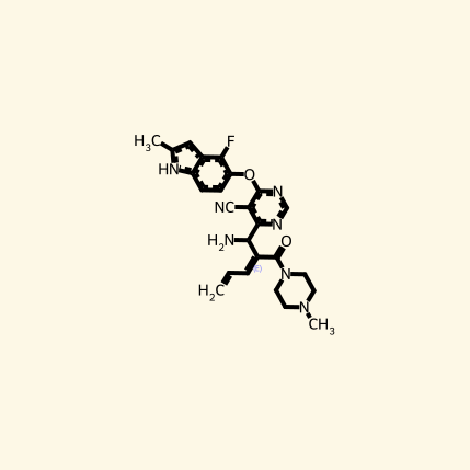 C=C/C=C(/C(=O)N1CCN(C)CC1)C(N)c1ncnc(Oc2ccc3[nH]c(C)cc3c2F)c1C#N